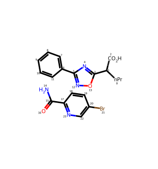 CCCC(C(=O)O)c1nc(-c2ccccc2)no1.NC(=O)c1ccc(Br)cn1